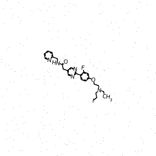 CCN(CCI)CCOc1ccc(-c2ncc(CC(=O)NCc3ccccn3)cn2)c(F)c1